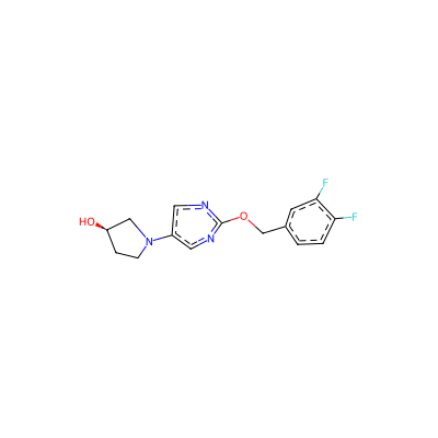 O[C@@H]1CCN(c2cnc(OCc3ccc(F)c(F)c3)nc2)C1